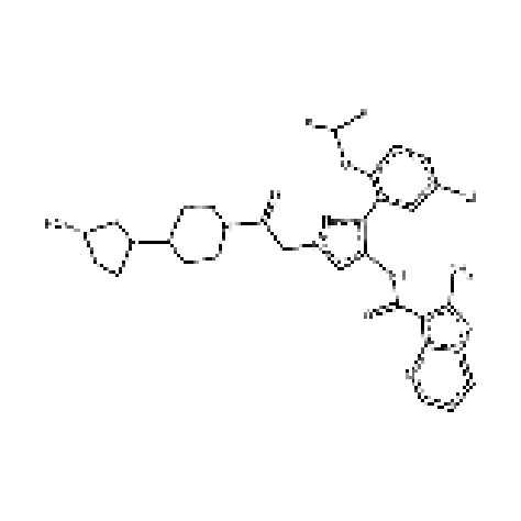 Nc1nn2cccnc2c1C(=O)Nc1cn(CC(=O)N2CCC(N3CC[C@H](O)C3)CC2)nc1-c1cc(Cl)ccc1OC(F)F